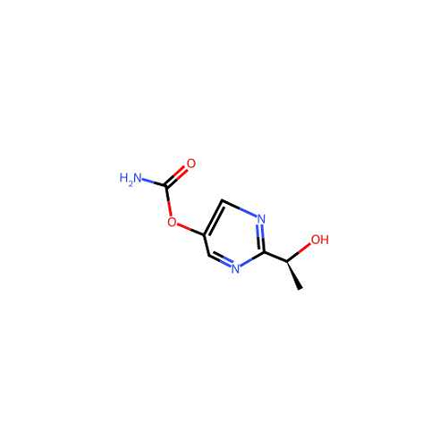 C[C@H](O)c1ncc(OC(N)=O)cn1